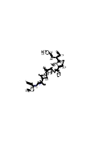 C=C/C(=C\C=C(/C)C1CN(C(C)c2nn3c(C(CC)CCO)ncc3c(=O)[nH]2)C1)OC